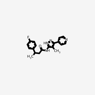 Cc1c(-c2ccncc2)n[nH]c1NC(=O)CC(C)c1ccc(F)cc1